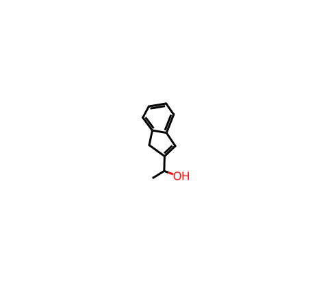 CC(O)C1=Cc2ccccc2C1